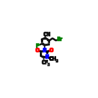 Cn1c(C(F)(F)F)cc(=O)n(-c2cc(CCBr)c(C#N)cc2F)c1=O